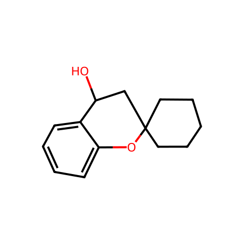 OC1CC2(CCCCC2)Oc2ccccc21